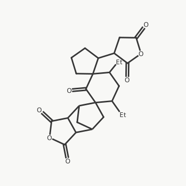 CCC1CC(CC)C2(CC3CC2C2C(=O)OC(=O)C32)C(=O)C12CCCC2C1CC(=O)OC1=O